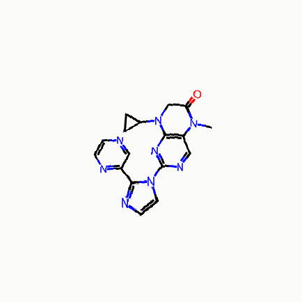 CN1C(=O)CN(C2CC2)c2nc(-n3ccnc3-c3cnccn3)ncc21